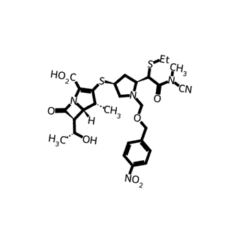 CCSC(C(=O)N(C)C#N)[C@@H]1C[C@H](SC2=C(C(=O)O)N3C(=O)[C@H]([C@@H](C)O)[C@H]3[C@H]2C)CN1COCc1ccc([N+](=O)[O-])cc1